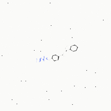 CCC(C)(CC(C)c1ccc(CN=[N+]=[N-])cc1)c1ccccc1